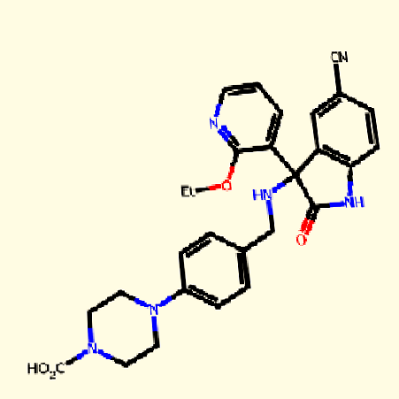 CCOc1ncccc1C1(NCc2ccc(N3CCN(C(=O)O)CC3)cc2)C(=O)Nc2ccc(C#N)cc21